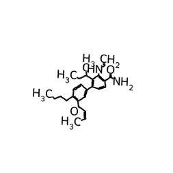 C=CNc1c(C(N)=O)ccc(-c2ccc(CCCC)c(C(=O)/C=C\C)c2)c1C(C)CC